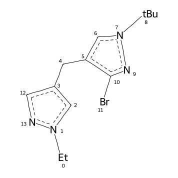 CCn1cc(Cc2cn(C(C)(C)C)nc2Br)cn1